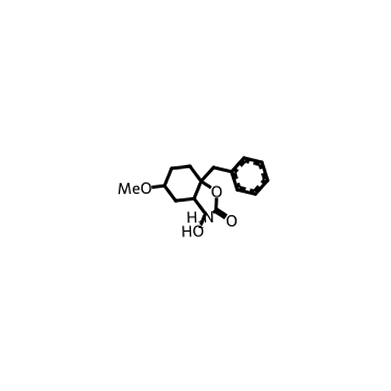 COC1CCC(Cc2ccccc2)(OC(N)=O)C(CO)C1